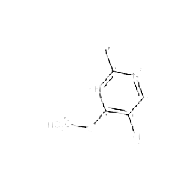 Cc1ncc(Cl)c(OC(=O)O)n1